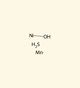 S.[Mn].[OH][Ni]